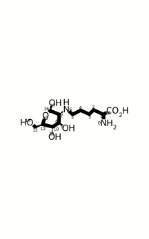 NC(CCCCN[C@@H]1[C@@H](O)[C@H](O)[C@@H](CO)O[C@H]1O)C(=O)O